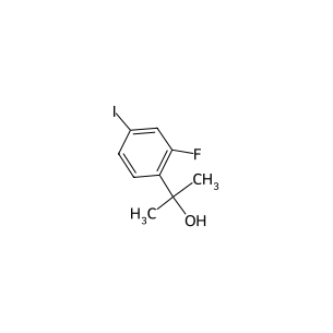 CC(C)(O)c1ccc(I)cc1F